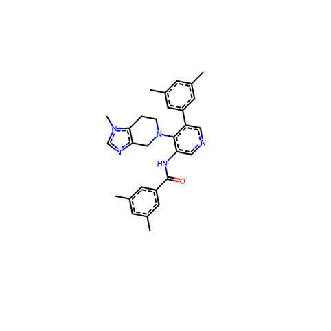 Cc1cc(C)cc(C(=O)Nc2cncc(-c3cc(C)cc(C)c3)c2N2CCc3c(ncn3C)C2)c1